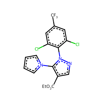 CCOC(=O)c1cnn(-c2c(Cl)cc(C(F)(F)F)cc2Cl)c1-n1cccc1